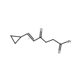 CC(C)C(=O)CCC(=O)/C=C/C1CC1